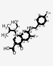 CC(C)[C@@H](CO)n1cc(C(=O)O)c(=O)c2cc(F)c(NCc3ccc(F)cc3)nc21